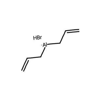 Br.C=C[CH2][Al][CH2]C=C